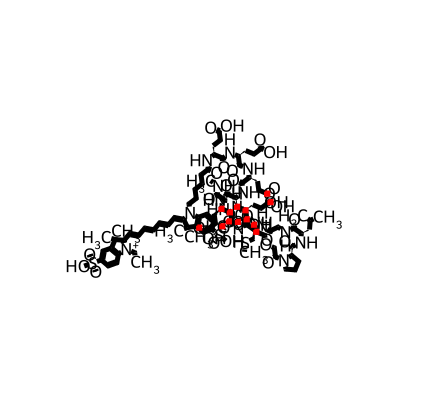 CC[N+]1=C(/C=C/C=C/C=C/C=C2/N(CCCCCC(=O)N[C@H](CCC(=O)O)C(=O)N[C@H](CCC(=O)O)C(=O)N[C@H](CCC(=O)O)C(=O)N[C@H](CCC(=O)O)C(=O)N[C@H](CCC(=O)O)C(=O)N[C@H](CCC(=O)O)C(=O)NCCOCC(=O)N3CCC[C@H]3C(=O)N[C@@H](CC(C)C)C(=O)NCC(=O)N[C@@H](CSC)C(=O)N[C@@H](C)C(=O)NCC(=O)NC)c3ccc(S(=O)(=O)O)cc3C2(C)C)C(C)(C)c2cc(S(=O)(=O)O)ccc21